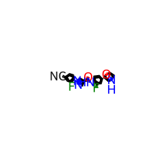 N#Cc1ccc(-n2cc(C(=O)NC3=C(F)CC([C@H]4CNCCO4)C=C3)cn2)c(F)c1